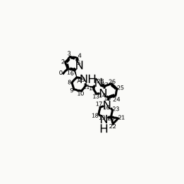 Cc1cccnc1[C@@H]1CCC[C@H](C2CN3C(N4CCNC5(CC5)C4)=CC=CC3=N2)N1